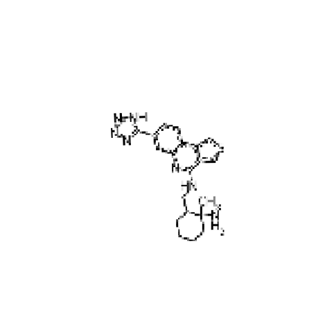 CC1(N)CCCCC1CNc1nc2cc(-c3nnn[nH]3)ccc2c2cscc12